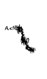 CC(=O)Nc1ccc(CCCCn2cc(C(=O)NCc3cccc(OC(C)(F)F)c3)nn2)nn1